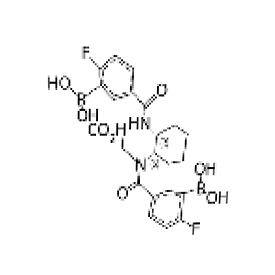 O=C(O)CN(C(=O)c1ccc(F)c(B(O)O)c1)[C@H]1CCCC[C@H]1NC(=O)c1ccc(F)c(B(O)O)c1